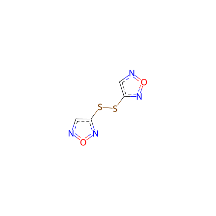 c1nonc1SSc1cnon1